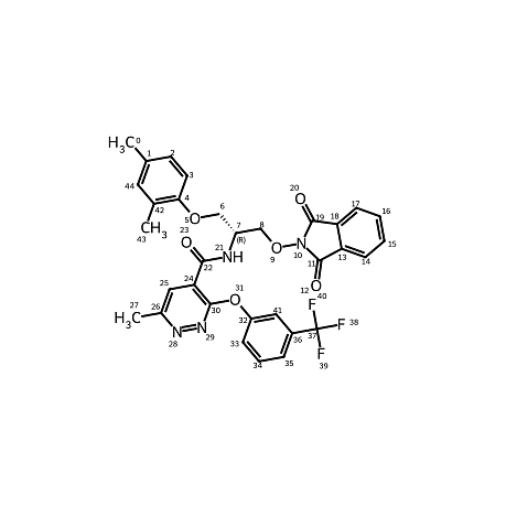 Cc1ccc(OC[C@H](CON2C(=O)c3ccccc3C2=O)NC(=O)c2cc(C)nnc2Oc2cccc(C(F)(F)F)c2)c(C)c1